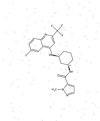 Cn1nccc1C(=O)N[C@@H]1CCC[C@H](Nc2cc(C(F)(F)F)nc3ccc(F)cc23)C1